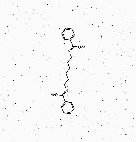 CC(=O)O/C(=N\CCCCCC/N=C(\OC(C)=O)c1ccccc1)c1ccccc1